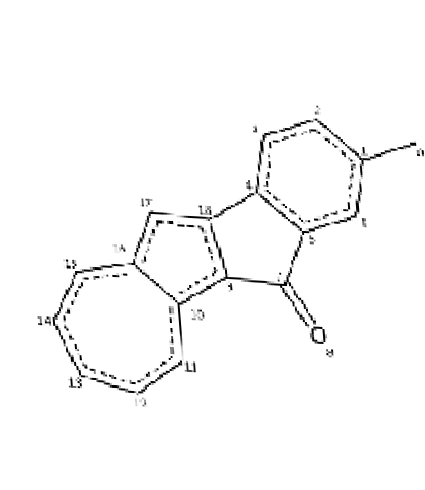 Cc1ccc2c(c1)C(=O)c1c3cccccc-3cc1-2